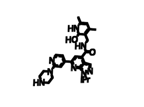 CC1=CC(C)=C(CNC(=O)c2cc(-c3ccnc(N4CCNCC4)c3)nc3c2cnn3C(C)C)C(O)N1